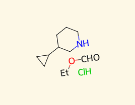 C1CNCC(C2CC2)C1.CCOC=O.Cl